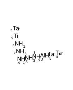 N.N.N.N.N.[AlH3].[Ta].[Ta].[Ta].[Ti]